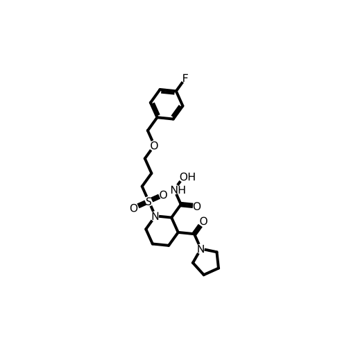 O=C(NO)C1C(C(=O)N2CCCC2)CCCN1S(=O)(=O)CCCOCc1ccc(F)cc1